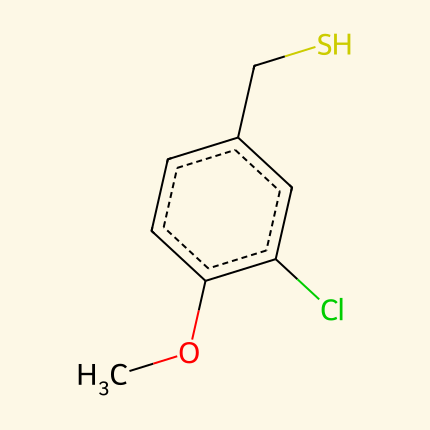 COc1ccc(CS)cc1Cl